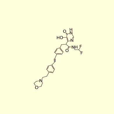 O=C(NCC(F)F)C(Cc1ccc(C#Cc2ccc(CCN3CCOCC3)cc2)cc1)c1nc[nH]c(=O)c1O